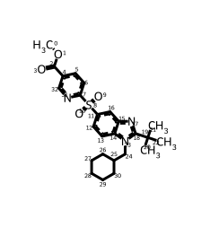 COC(=O)c1ccc(S(=O)(=O)c2ccc3c(c2)nc(C(C)(C)C)n3CC2CCCCC2)nc1